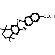 CC1(C)CCC(C)(C)c2cc(Oc3ccc4cc(C(=O)O)ccc4c3)c(Br)cc21